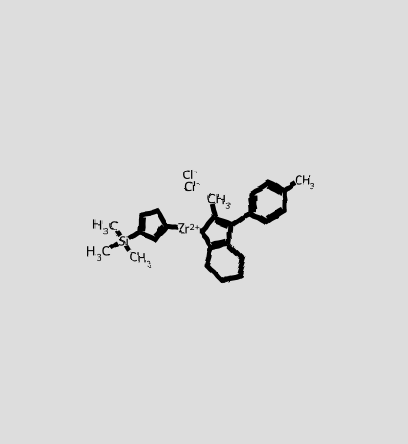 CC1=C(c2ccc(C)cc2)C2=C(CCCC2)[CH]1[Zr+2][C]1=CC([Si](C)(C)C)=CC1.[Cl-].[Cl-]